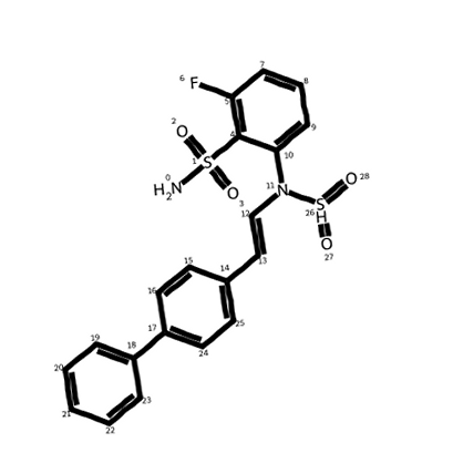 NS(=O)(=O)c1c(F)cccc1N(C=Cc1ccc(-c2ccccc2)cc1)[SH](=O)=O